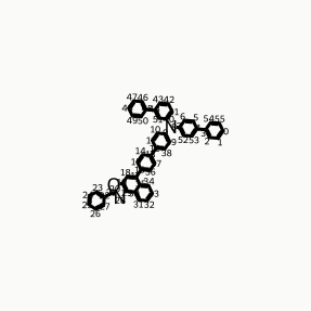 c1ccc(-c2ccc(N(c3ccc(-c4ccc(-c5cc6oc(-c7ccccc7)nc6c6ccccc56)cc4)cc3)c3cccc(-c4ccccc4)c3)cc2)cc1